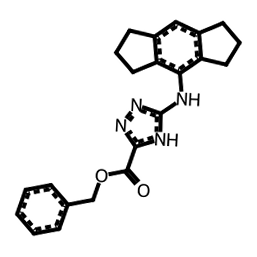 O=C(OCc1ccccc1)c1nnc(Nc2c3c(cc4c2CCC4)CCC3)[nH]1